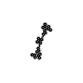 CC1(C)c2cc(/C=C/c3ccc4c(c3)C3(c5ccccc5-c5ccccc53)c3cc(/C=C/c5ccc6c(c5)C(C)(C)c5cc(N(c7cc8ccccc8c8ccccc78)c7cc8ccccc8c8ccccc78)ccc5-6)ccc3-4)ccc2-c2ccc(N(c3cc4ccccc4c4ccccc34)c3cc4ccccc4c4ccccc34)cc21